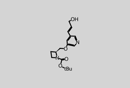 CC(C)(C)OC(=O)N1CC[C@H]1COc1cncc(/C=C/CO)c1